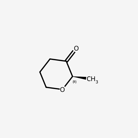 C[C@H]1OCCCC1=O